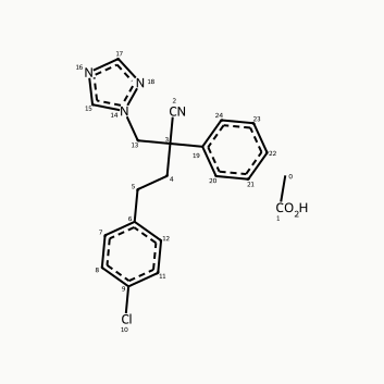 CC(=O)O.N#CC(CCc1ccc(Cl)cc1)(Cn1cncn1)c1ccccc1